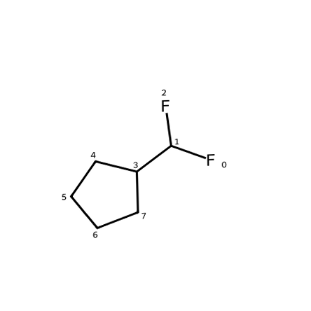 FC(F)C1CCCC1